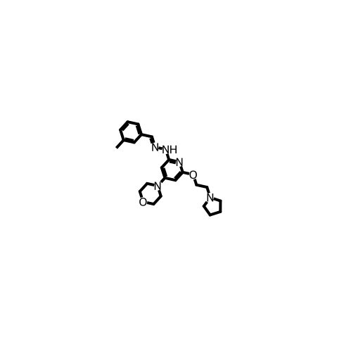 Cc1cccc(C=NNc2cc(N3CCOCC3)cc(OCCN3CCCC3)n2)c1